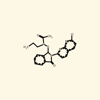 CCCN(OC1c2ccccc2C(=O)N1c1ccc2ccc(Cl)nc2n1)C(C)=O